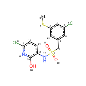 CCSc1cc(Cl)cc(CS(=O)(=O)Nc2ccc(Cl)nc2O)c1